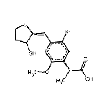 COc1cc(C=C2SCCC2O)c(Br)cc1C(C)C(=O)O